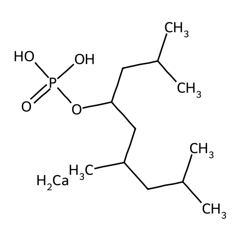 CC(C)CC(C)CC(CC(C)C)OP(=O)(O)O.[CaH2]